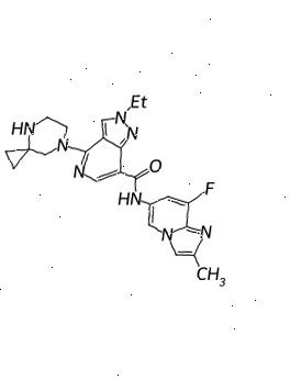 CCn1cc2c(N3CCNC4(CC4)C3)ncc(C(=O)Nc3cc(F)c4nc(C)cn4c3)c2n1